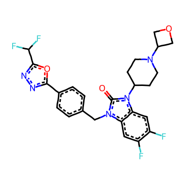 O=c1n(Cc2ccc(-c3nnc(C(F)F)o3)cc2)c2cc(F)c(F)cc2n1C1CCN(C2COC2)CC1